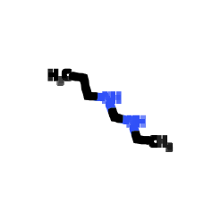 CCCNCNCC